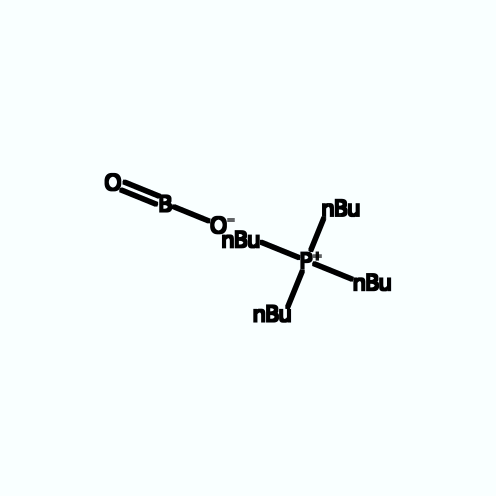 CCCC[P+](CCCC)(CCCC)CCCC.O=B[O-]